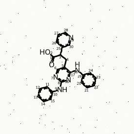 O=C(O)C(Cc1cnc(Nc2ccccc2)nc1Nc1ccccc1)c1cccnc1